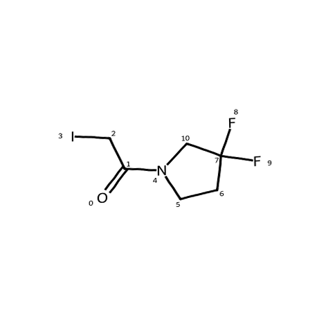 O=C(CI)N1CCC(F)(F)C1